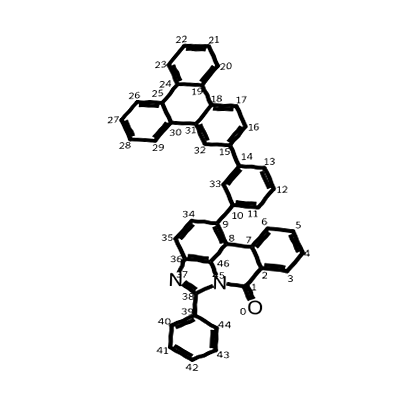 O=c1c2ccccc2c2c(-c3cccc(-c4ccc5c6ccccc6c6ccccc6c5c4)c3)ccc3nc(-c4ccccc4)n1c32